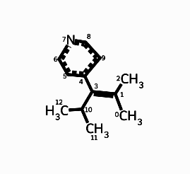 CC(C)=C(c1ccncc1)C(C)C